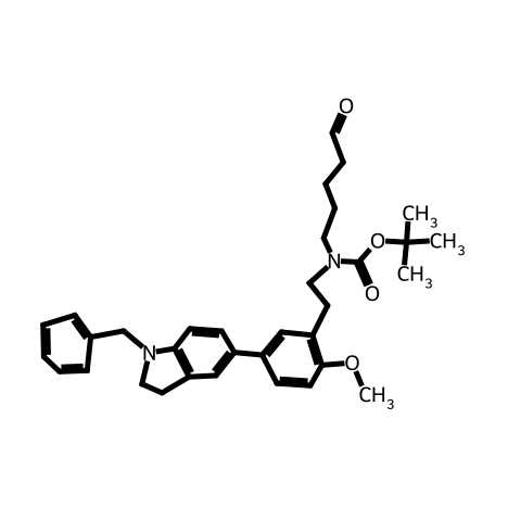 COc1ccc(-c2ccc3c(c2)CCN3Cc2ccccc2)cc1CCN(CCCCC=O)C(=O)OC(C)(C)C